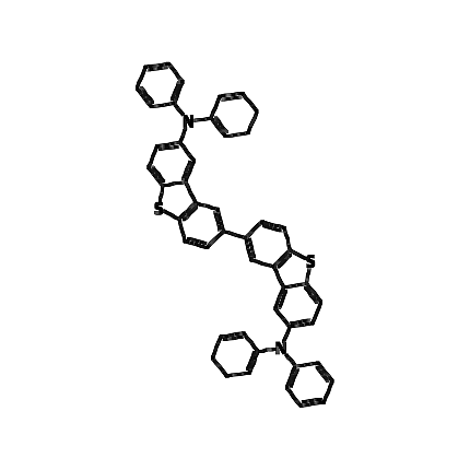 C1=CC(N(c2ccccc2)c2ccc3sc4ccc(-c5ccc6sc7ccc(N(C8=CCCC=C8)c8ccccc8)cc7c6c5)cc4c3c2)=CCC1